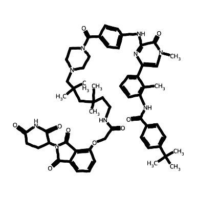 Cc1c(NC(=O)c2ccc(C(C)(C)C)cc2)cccc1-c1cn(C)c(=O)c(Nc2ccc(C(=O)N3CCN(CC(C)(C)CC(C)(C)CCNC(=O)COc4cccc5c4C(=O)N(C4CCC(=O)NC4=O)C5=O)CC3)cc2)n1